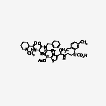 CCC(C)C(NC(=O)C1CCCCN1C)C(=O)N(Cc1ccccc1)[C@H](C[C@@H](OC(C)=O)c1nc(C(=O)NCC[C@@H](C(=O)O)c2cc(C)ccc2C)cs1)C(C)C